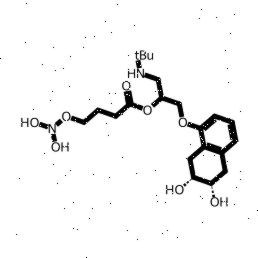 CC(C)(C)NCC(COc1cccc2c1C[C@@H](O)[C@@H](O)C2)OC(=O)CCCON(O)O